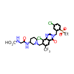 CCS(=O)(=O)c1ccc(Cl)cc1Cn1cnc2c(Cl)c(CN3CCC[C@H](NC(=O)CNC(=O)O)C3)c(C(F)(F)F)cc2c1=O